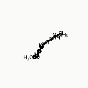 [CH3][AlH][CH2]CC(=O)NCCOCCOCCOc1ccc(-c2ccc(C3=Nc4cc(C)ccc4OC3)cc2)cn1